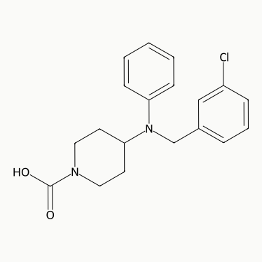 O=C(O)N1CCC(N(Cc2cccc(Cl)c2)c2ccccc2)CC1